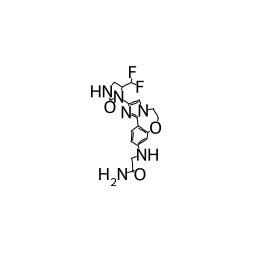 NC(=O)CNc1ccc2c(c1)OCCn1cc(N3C(=O)NCC3C(F)F)nc1-2